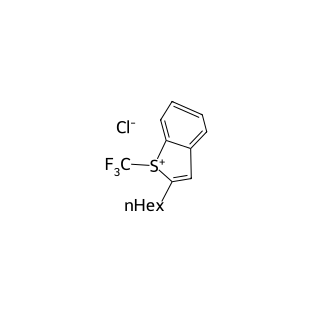 CCCCCCc1cc2ccccc2[s+]1C(F)(F)F.[Cl-]